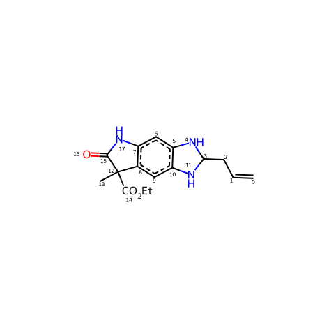 C=CCC1Nc2cc3c(cc2N1)C(C)(C(=O)OCC)C(=O)N3